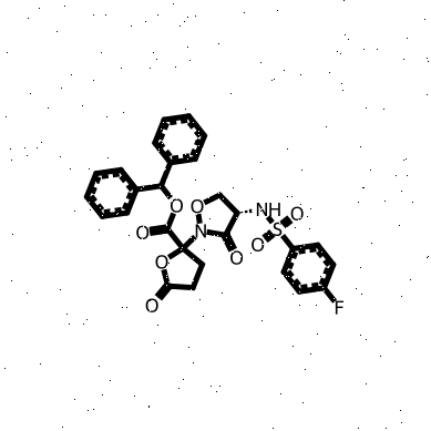 O=C1CCC(C(=O)OC(c2ccccc2)c2ccccc2)(N2OC[C@H](NS(=O)(=O)c3ccc(F)cc3)C2=O)O1